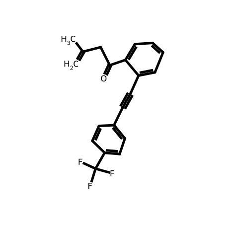 C=C(C)CC(=O)c1ccccc1C#Cc1ccc(C(F)(F)F)cc1